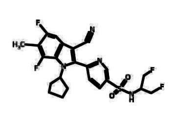 Cc1c(F)cc2c(C#N)c(-c3ccc(S(=O)(=O)NC(CF)CF)cn3)n(C3CCCC3)c2c1F